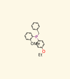 CCOc1ccc(P(Cc2ccccc2)c2ccccc2OC)cc1